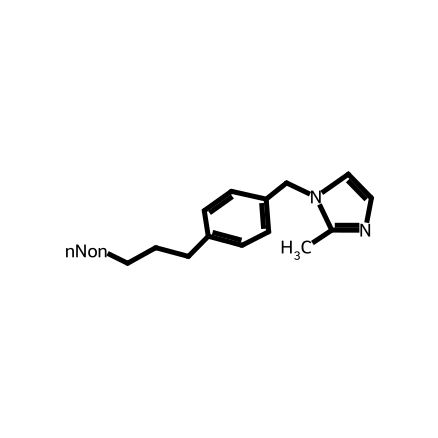 CCCCCCCCCCCCc1ccc(Cn2ccnc2C)cc1